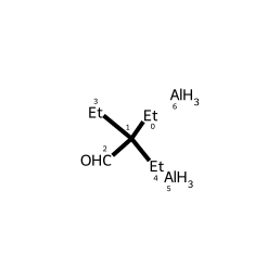 CCC(C=O)(CC)CC.[AlH3].[AlH3]